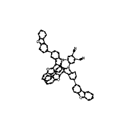 N#Cc1cc(-n2c3ccc(-c4ccc5oc6ccccc6c5c4)cc3c3c4oc5ccccc5c4ccc32)c(-n2c3ccc(-c4ccc5oc6ccccc6c5c4)cc3c3c4oc5ccccc5c4ccc32)cc1C#N